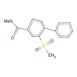 CSC(=O)c1ccc(-c2ccccc2)c(S(C)(=O)=O)c1